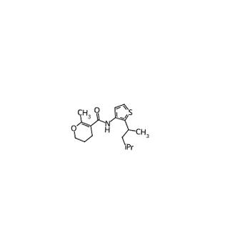 CC1=C(C(=O)Nc2ccsc2C(C)CC(C)C)CCCO1